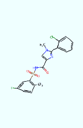 Cc1ccc(F)cc1S(=O)(=O)NC(=O)c1cn(C)c(-c2ccccc2Cl)n1